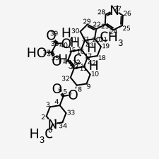 CN1CCC(C(=O)O[C@H]2CC[C@@]3(C)C(=CC[C@@H]4[C@@H]3CC[C@]3(C)C(c5cccnc5)=CC[C@@H]43)C2)CC1.O=C(O)C(=O)O